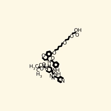 CC(C)(C)OC(=O)N1CCC(Nc2cccc(C(=O)N[C@H]3CCOc4ccc(OCCCCCOCCCOCC(=O)O)cc43)c2)(c2nnc(-c3ccncc3)[nH]2)CC1